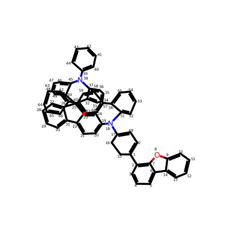 C1=C(c2cccc3c2oc2ccccc23)CCC(N(c2ccc3c(c2)C2(c4ccccc4-3)c3ccccc3N(c3ccccc3)c3ccccc32)c2ccccc2-c2ccc(-c3ccccc3)cc2)=C1